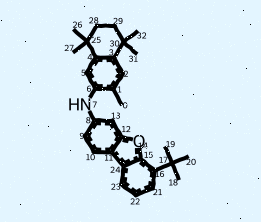 Cc1cc2c(cc1Nc1ccc3c(c1)oc1c(C(C)(C)C)cccc13)C(C)(C)CCC2(C)C